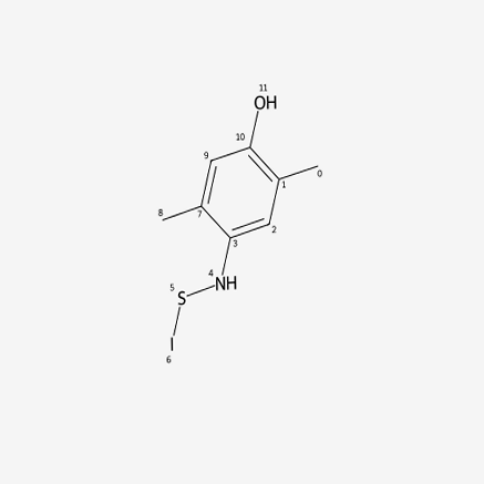 Cc1cc(NSI)c(C)cc1O